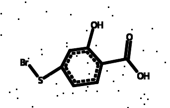 O=C(O)c1ccc(SBr)cc1O